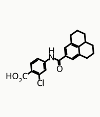 O=C(Nc1ccc(C(=O)O)c(Cl)c1)c1cc2c3c(c1)CCCC3CCC2